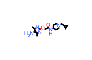 Cc1nc(OCC(=O)NC2CCN(CC3CC3)CC2)nc(C)c1N